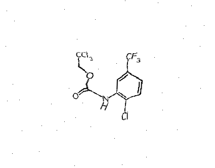 O=C(Nc1cc(C(F)(F)F)ccc1Cl)OCC(Cl)(Cl)Cl